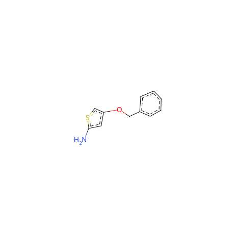 Nc1cc(OCc2ccccc2)cs1